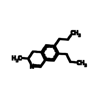 CCCc1cc2c(cc1CCC)CC(C)N=C2